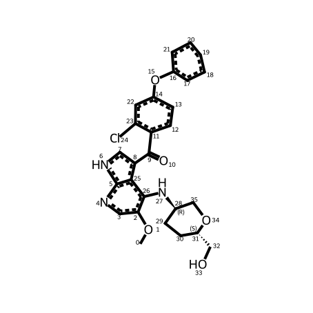 COc1cnc2[nH]cc(C(=O)c3ccc(Oc4ccccc4)cc3Cl)c2c1N[C@@H]1CC[C@@H](CO)OC1